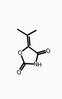 CC(C)=C1OC(=O)NC1=O